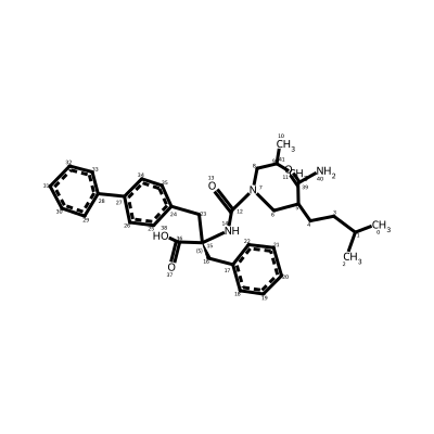 CC(C)CCC(CN(CC(C)C)C(=O)N[C@@](Cc1ccccc1)(Cc1ccc(-c2ccccc2)cc1)C(=O)O)C(N)=O